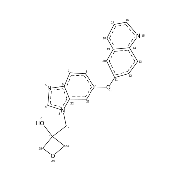 OC1(Cn2cnc3ccc(Oc4ccc5ncccc5c4)cc32)COC1